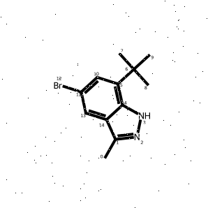 Cc1n[nH]c2c(C(C)(C)C)cc(Br)cc12